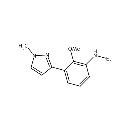 CCNc1cccc(-c2ccn(C)n2)c1OC